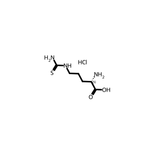 Cl.NC(=S)NCCC[C@H](N)C(=O)O